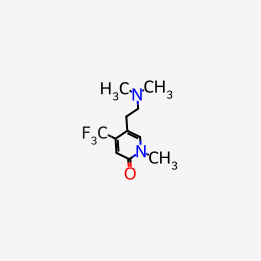 CN(C)CCc1cn(C)c(=O)cc1C(F)(F)F